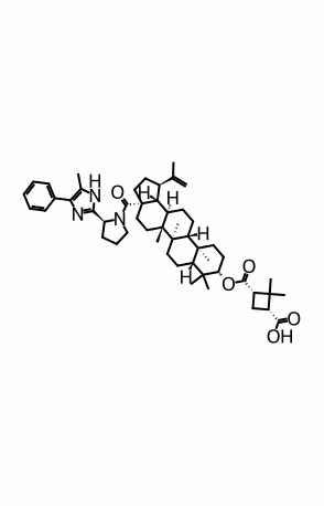 C=C(C)[C@@H]1CC[C@]2(C(=O)N3CCC[C@H]3c3nc(-c4ccccc4)c(C)[nH]3)CC[C@]3(C)[C@H](CC[C@@H]4[C@@]5(C)CC[C@H](OC(=O)[C@H]6C[C@@H](C(=O)O)C6(C)C)C(C)(C)[C@@H]5CC[C@]43C)[C@@H]12